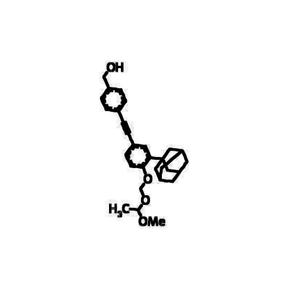 COC(C)OCOc1ccc(C#Cc2ccc(CO)cc2)cc1C12CC3CC(CC(C3)C1)C2